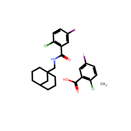 O=C(NCC12CCCC(CCC1)C2)c1cc(I)ccc1Cl.O=C(O)c1cc(I)ccc1Cl.[CH2]